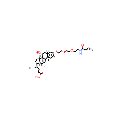 CCC(=O)NCCOCCOCCO[C@@H]1CC[C@@]2(C)[C@@H](C1)C[C@@H](O)[C@@H]1[C@@H]2CC[C@]2(C)[C@@H]([C@H](C)CCC(=O)O)CC[C@@H]12